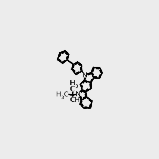 CC(C)(C)n1c2ccccc2c2cc3c4ccccc4n(-c4ccc(-c5ccccc5)cc4)c3cc21